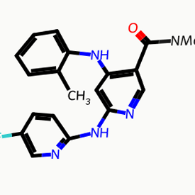 CNC(=O)c1cnc(Nc2ccc(F)cn2)cc1Nc1ccccc1C